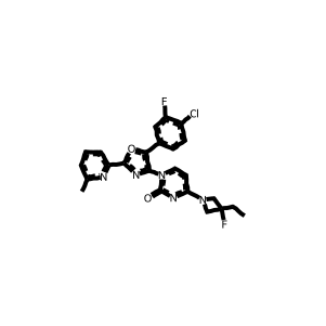 CCC1(F)CN(c2ccn(-c3nc(-c4cccc(C)n4)oc3-c3ccc(Cl)c(F)c3)c(=O)n2)C1